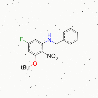 CC(C)(C)Oc1cc(F)cc(NCc2ccccc2)c1[N+](=O)[O-]